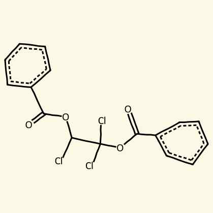 O=C(OC(Cl)C(Cl)(Cl)OC(=O)c1ccccc1)c1ccccc1